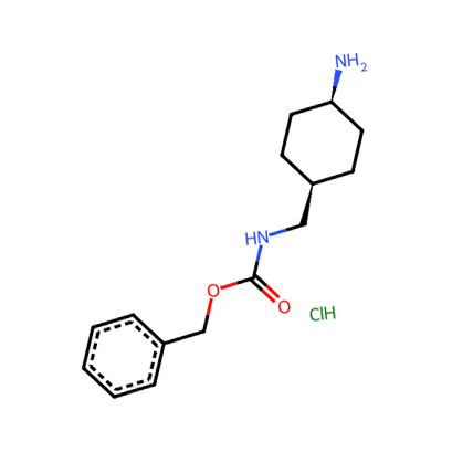 Cl.N[C@H]1CC[C@@H](CNC(=O)OCc2ccccc2)CC1